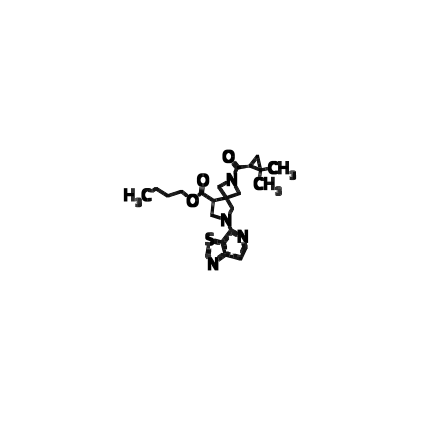 CCCCOC(=O)C1CN(c2nccc3ncsc23)CC12CN(C(=O)[C@H]1CC1(C)C)C2